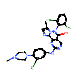 Cc1cnc2c3nc(Nc4ccc(N5CCN(C)CC5)c(Cl)c4)ncc3c(=O)n(-c3c(Cl)cccc3Cl)n12